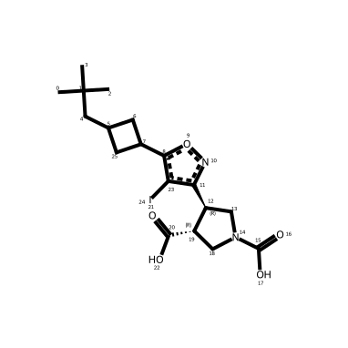 CC(C)(C)CC1CC(c2onc([C@H]3CN(C(=O)O)C[C@@H]3C(=O)O)c2I)C1